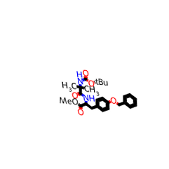 COC(=O)C(Cc1ccc(OCc2ccccc2)cc1)NC(=O)C(C)(C)NC(=O)OC(C)(C)C